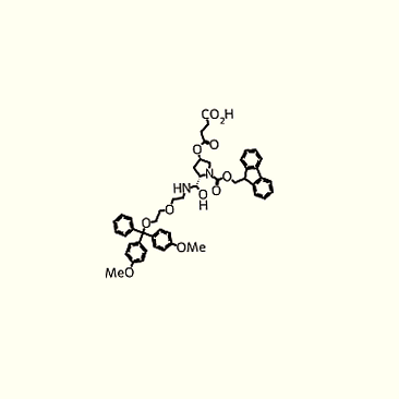 COc1ccc(C(OCCOCCNC(O)[C@@H]2C[C@@H](OC(=O)CCC(=O)O)CN2C(=O)OCC2c3ccccc3-c3ccccc32)(c2ccccc2)c2ccc(OC)cc2)cc1